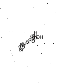 O=C1NC(O)CCC1N1C(=O)c2ccc(N3CCC(CN4CCCN(c5cccc(Br)c5)C4=O)CC3)cc2C1=O